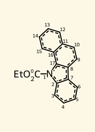 CCOC(=O)n1c2ccccc2c2ccc3ccccc3c21